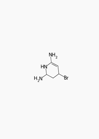 NC1=CC(Br)CC(N)N1